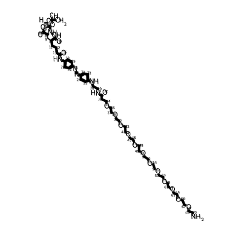 CC(C)(C)OC(=O)N[C@@H](C[C@H](CCCC(=O)Nc1ccc(/N=N/c2ccc(NCCNC(=O)CCOCCOCCOCCOCCOCCOCCOCCOCCOCCOCCOCCOCCN)cc2)cc1)C(=O)O)C(=O)O